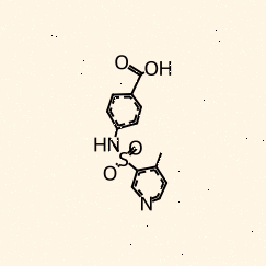 Cc1ccncc1S(=O)(=O)Nc1ccc(C(=O)O)cc1